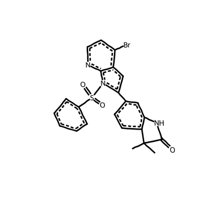 CC1(C)C(=O)Nc2cc(-c3cc4c(Br)ccnc4n3S(=O)(=O)c3ccccc3)ccc21